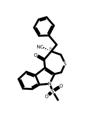 CS(=O)(=O)n1c2c(c3ccccc31)C(=O)[C@@](C#N)(Cc1ccccc1)CSC2